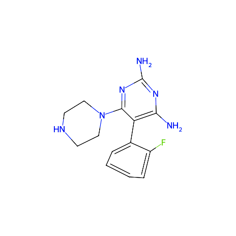 Nc1nc(N)c(-c2ccccc2F)c(N2CCNCC2)n1